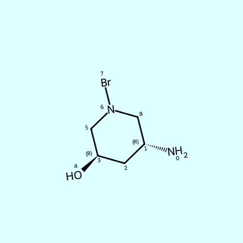 N[C@@H]1C[C@@H](O)CN(Br)C1